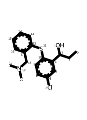 CCC(O)c1cc(Cl)ccc1Sc1ccccc1CN(C)C